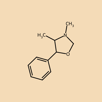 CC1C(c2ccccc2)OCN1C